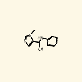 Cn1cncc1C(C#N)Nc1ccccc1